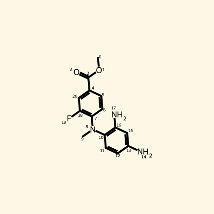 COC(=O)c1ccc(N(C)c2ccc(N)cc2N)c(F)c1